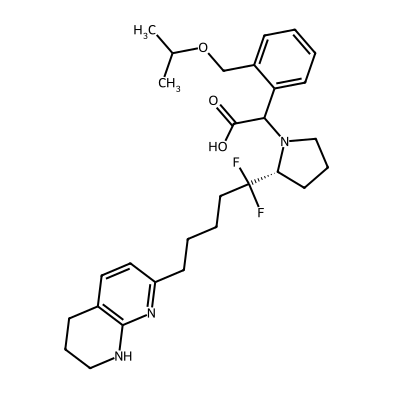 CC(C)OCc1ccccc1C(C(=O)O)N1CCC[C@@H]1C(F)(F)CCCCc1ccc2c(n1)NCCC2